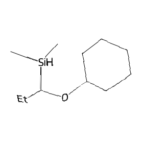 [CH2]CC(OC1CCCCC1)[SiH](C)C